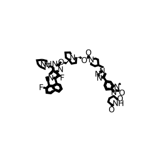 C#Cc1c(F)ccc2cccc(-c3ncc4c(N5CC6CCC(C5)N6)nc(OC[C@@]56CCCN5[C@H](COC(=O)N5CCC(Cn7cc(-c8ccc9c(c8)n(C)c(=O)n9C8CCC(=O)NC8=O)nn7)CC5)CC6)nc4c3F)c12